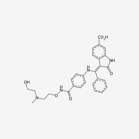 CN(CCO)CCONC(=O)c1ccc(NC(=C2C(=O)Nc3cc(C(=O)O)ccc32)c2ccccc2)cc1